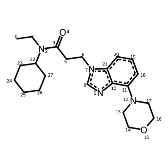 CCN(C(=O)CCn1cnc2c(N3CCOCC3)cccc21)C1CCCCC1